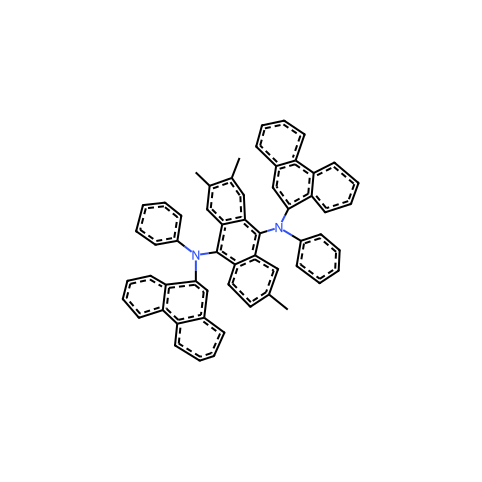 Cc1ccc2c(N(c3ccccc3)c3cc4ccccc4c4ccccc34)c3cc(C)c(C)cc3c(N(c3ccccc3)c3cc4ccccc4c4ccccc34)c2c1